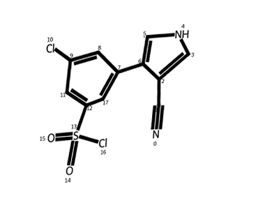 N#Cc1c[nH][c]c1-c1cc(Cl)cc(S(=O)(=O)Cl)c1